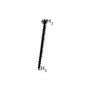 CC=CCCC=CCCC=CCCC=CCCC=CCCC=CCCC=CCCC=CCCC=CCCCCC(N)=O